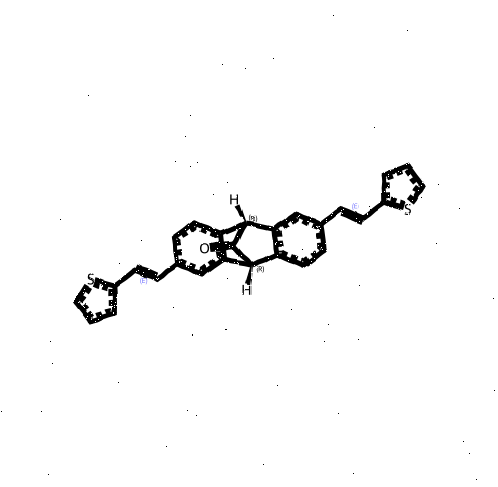 O=C1[C@@H]2c3ccc(/C=C/c4cccs4)cc3[C@H]1c1ccc(/C=C/c3cccs3)cc12